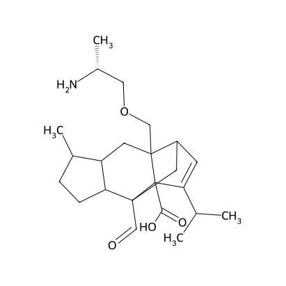 CC(C)C1=CC2CC3(C=O)C4CCC(C)C4CC2(COC[C@@H](C)N)C13C(=O)O